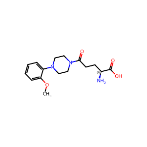 COc1ccccc1N1CCN(C(=O)CC[C@H](N)C(=O)O)CC1